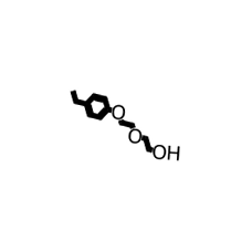 CCc1ccc(OCCOCCO)cc1